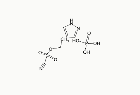 CCOS(=O)(=O)C#N.O=P(O)(O)O.c1cn[nH]c1